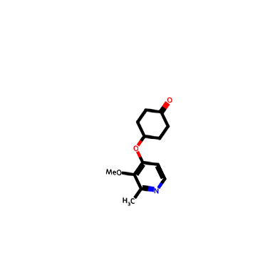 COc1c(OC2CCC(=O)CC2)ccnc1C